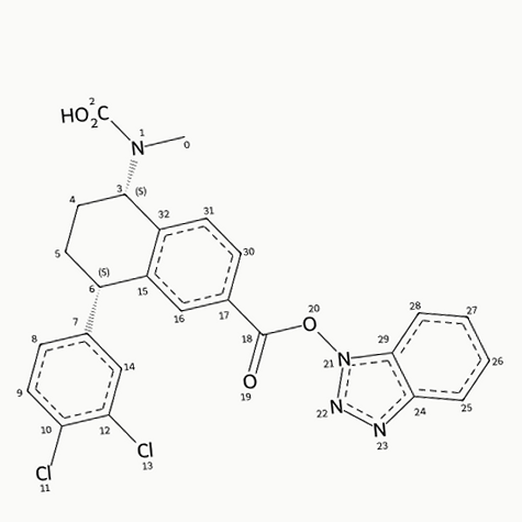 CN(C(=O)O)[C@H]1CC[C@@H](c2ccc(Cl)c(Cl)c2)c2cc(C(=O)On3nnc4ccccc43)ccc21